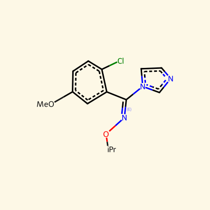 COc1ccc(Cl)c(/C(=N\OC(C)C)n2ccnc2)c1